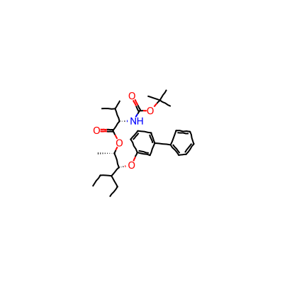 CCC(CC)[C@@H](Oc1cccc(-c2ccccc2)c1)[C@H](C)OC(=O)[C@@H](NC(=O)OC(C)(C)C)C(C)C